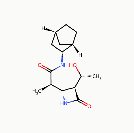 C[C@@H](O)[C@H]1C(=O)N[C@@H]1[C@@H](C)C(=O)N[C@H]1C[C@@H]2CC[C@H]1C2